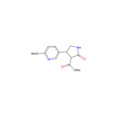 COC(=O)C1C(=O)NCC1c1ccc(OC)nc1